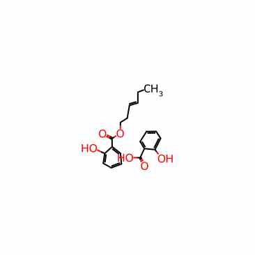 CCC=CCCOC(=O)c1ccccc1O.O=C(O)c1ccccc1O